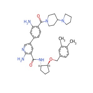 Cc1ccc(CO[C@H]2CCC[C@@H]2NC(=O)c2cc(-c3ccc(C(=O)N4CCC(N5CCCC5)CC4)c(N)c3)cnc2N)cc1C